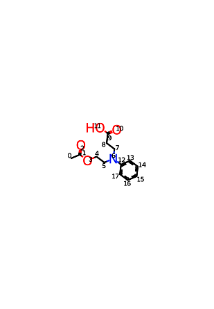 CC(=O)OCCN(CCC(=O)O)c1ccccc1